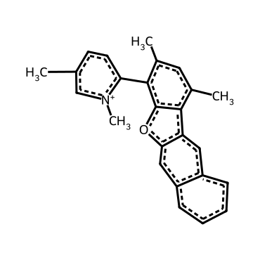 Cc1ccc(-c2c(C)cc(C)c3c2oc2cc4ccccc4cc23)[n+](C)c1